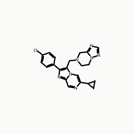 Clc1ccc(-c2nc3cnc(C4CC4)cn3c2CN2CCn3ncnc3C2)cc1